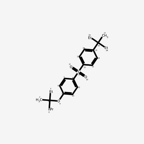 CCCC(C)(CC)Oc1ccc(S(=O)(=O)c2ccc(C(C)(CC)CC)cc2)cc1